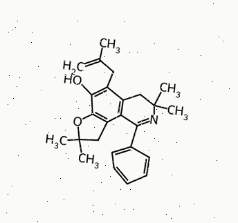 C=C(C)Cc1c(O)c2c(c3c1CC(C)(C)N=C3c1ccccc1)CC(C)(C)O2